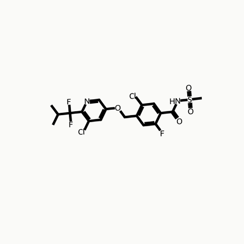 CC(C)C(F)(F)c1ncc(OCc2cc(F)c(C(=O)NS(C)(=O)=O)cc2Cl)cc1Cl